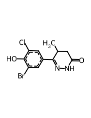 CC1CC(=O)NN=C1c1cc(Cl)c(O)c(Br)c1